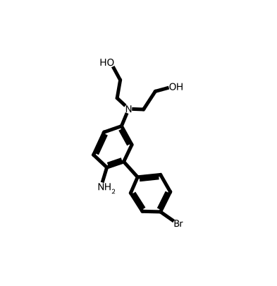 Nc1ccc(N(CCO)CCO)cc1-c1ccc(Br)cc1